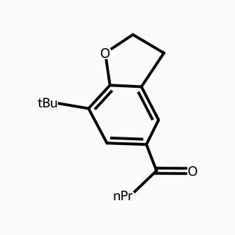 CCCC(=O)c1cc2c(c(C(C)(C)C)c1)OCC2